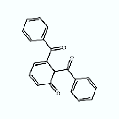 O=C(C1=CC=CC(=O)C1C(=O)c1ccccc1)c1ccccc1